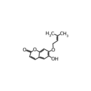 CC(C)=CCOc1cc2oc(=O)ccc2cc1O